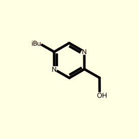 CCC(C)c1cnc(CO)cn1